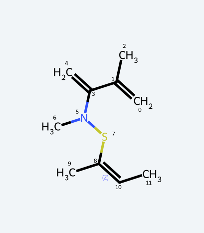 C=C(C)C(=C)N(C)S/C(C)=C\C